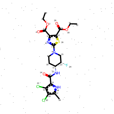 CCOC(=O)c1nc(N2CC[C@@H](NC(=O)c3[nH]c(C)c(Cl)c3Cl)[C@@H](F)C2)sc1C(=O)OCC